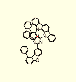 c1ccc(-c2nc(-c3ccc4oc5cccc(-c6ccccc6)c5c4c3)nc(-n3c4ccccc4c4ccc5c6ccccc6n(-c6ccccc6-c6ccccc6)c5c43)n2)cc1